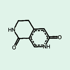 O=C1NCCc2cc(=O)[nH]cc21